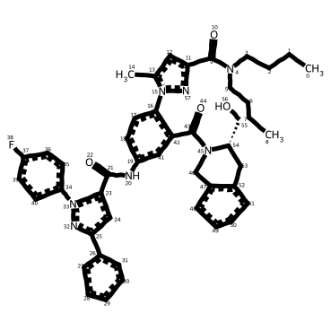 CCCCN(CCCC)C(=O)c1cc(C)n(-c2ccc(NC(=O)c3cc(-c4ccccc4)nn3-c3ccc(F)cc3)cc2C(=O)N2Cc3ccccc3C[C@H]2CO)n1